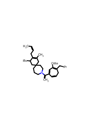 C=C(C1=CC(OC)=C(CC(C)C)CC=C1)N1CCCC2(CC1)CC(C)=C(C/C=C\C)C(C(C)CC)C2